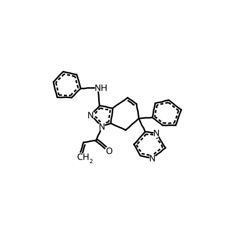 C=CC(=O)n1nc(Nc2ccccc2)c2c1CC(c1ccccc1)(c1ccncn1)C=C2